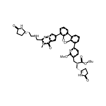 COc1nc(-c2cccc(-c3cccc(-c4cc5c(=O)n(C)c(CNCC[C@@H]6CCC(=O)N6)nn5c4)c3Cl)c2Cl)ccc1CN(C[C@@H]1CCC(=O)N1)C(=O)OC(C)(C)C